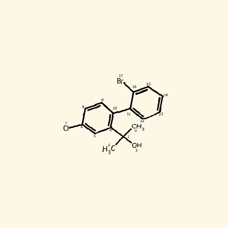 CC(C)(O)c1cc(Cl)ccc1-c1ccccc1Br